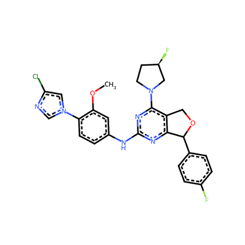 COc1cc(Nc2nc3c(c(N4CC[C@@H](F)C4)n2)COC3c2ccc(F)cc2)ccc1-n1cnc(Cl)c1